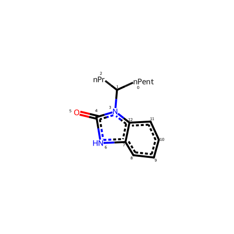 CCCCCC(CCC)n1c(=O)[nH]c2ccccc21